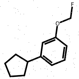 FCOc1cccc(C2CCCC2)c1